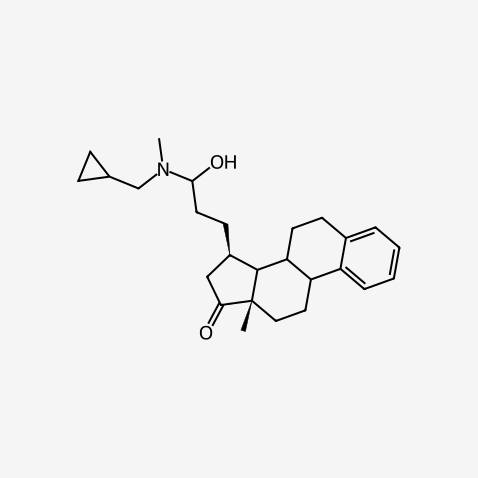 CN(CC1CC1)C(O)CC[C@@H]1CC(=O)[C@@]2(C)CCC3c4ccccc4CCC3C12